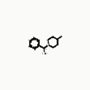 CC1CCN(C(O)c2ccccc2)CC1